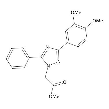 COC(=O)Cn1nc(-c2ccc(OC)c(OC)c2)nc1-c1ccccc1